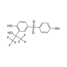 O=S(=O)(c1ccc(O)cc1)c1ccc(O)c(C(O)(C(F)(F)F)C(F)(F)F)c1